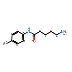 CCc1ccc(NC(=O)CCCCN)cc1